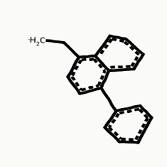 [CH2]Cc1ccc(-c2ccccc2)c2ccccc12